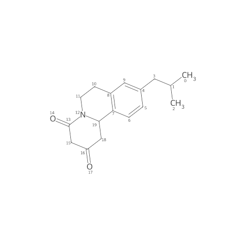 CC(C)Cc1ccc2c(c1)CCN1C(=O)CC(=O)CC21